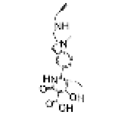 C#CCNCc1cc2cc(-c3[nH]c(=O)c(C(=O)O)c(O)c3CC)ccc2n1C